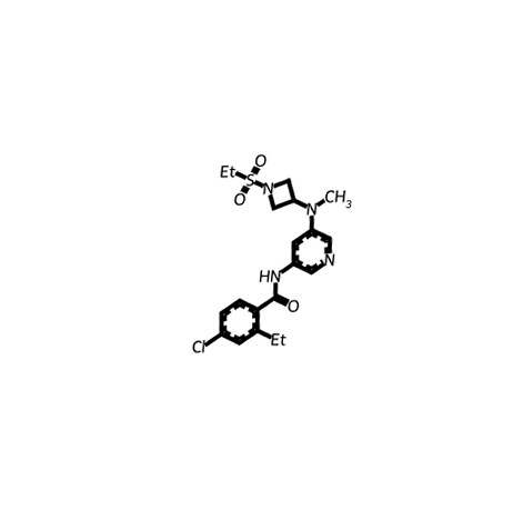 CCc1cc(Cl)ccc1C(=O)Nc1cncc(N(C)C2CN(S(=O)(=O)CC)C2)c1